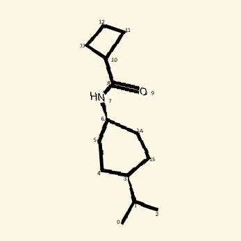 CC(C)[C@H]1CC[C@@H](NC(=O)C2CCC2)CC1